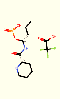 CCC[C@H](NC(=O)[C@@H]1CCCCN1)O[PH](=O)O.O=C(O)C(F)(F)F